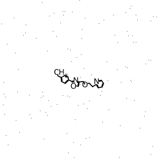 CCc1ccc(-c2nc(COCCc3ccccn3)co2)cc1